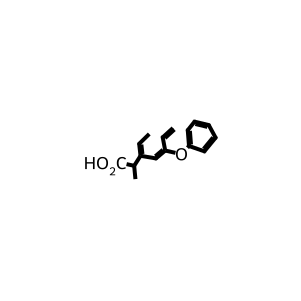 C=C/C(=C\C(=C/C)C(C)C(=O)O)Oc1ccccc1